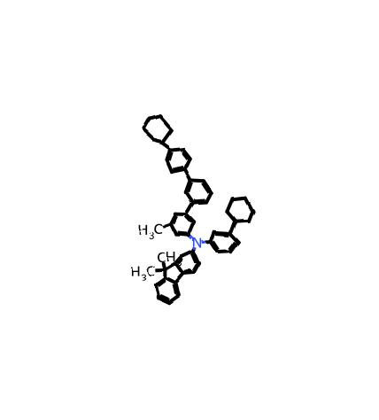 Cc1cc(-c2cccc(-c3ccc(C4CCCCC4)cc3)c2)cc(N(c2cccc(C3CCCCC3)c2)c2ccc3c(c2)C(C)(C)c2ccccc2-3)c1